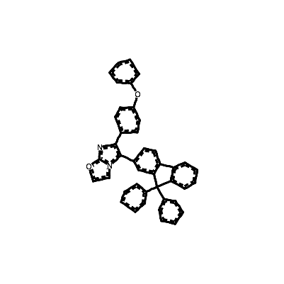 c1ccc(Oc2ccc(-c3nc4occn4c3-c3ccc4c(c3)C(c3ccccc3)(c3ccccc3)c3ccccc3-4)cc2)cc1